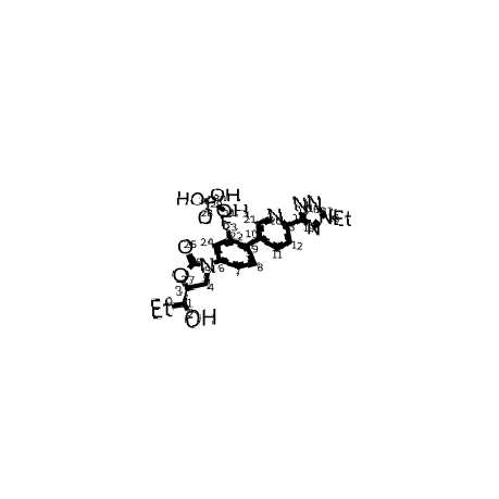 CCC(O)[C@@H]1CN(c2ccc(-c3ccc(-c4nnn(CC)n4)nc3)c(F)c2)C(=O)O1.O=P(O)(O)O